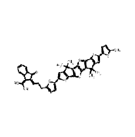 Cc1ccc(-c2cc3c(s2)-c2sc4c5c(sc4c2C3(C)C)-c2sc(-c3ccc(CC/C=C4\C(=O)c6ccccc6C4=C(C#N)C#N)s3)cc2C5(C)C)s1